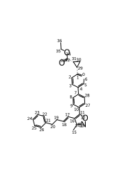 C=C(/C=C\C(=C/C)c1ccc(-c2onc(C)c2/C=C/CCc2ccccc2)cc1)[C@H]1C[C@H]1C(=O)OCC